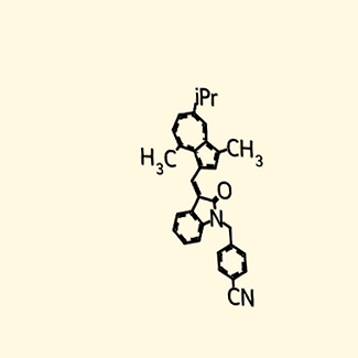 Cc1cc(C=C2C(=O)N(Cc3ccc(C#N)cc3)c3ccccc32)c2c(C)ccc(C(C)C)cc1-2